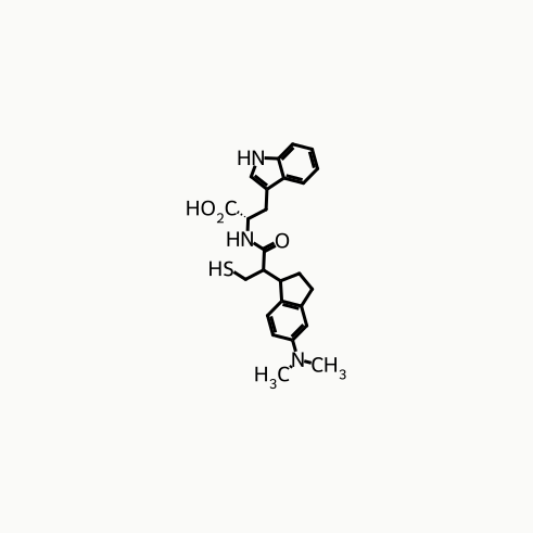 CN(C)c1ccc2c(c1)CCC2C(CS)C(=O)N[C@@H](Cc1c[nH]c2ccccc12)C(=O)O